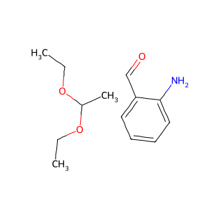 CCOC(C)OCC.Nc1ccccc1C=O